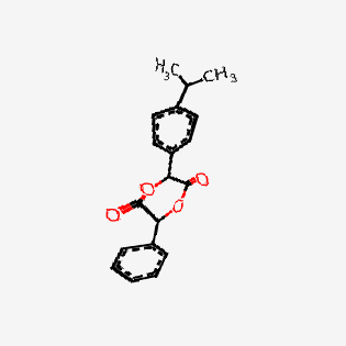 CC(C)c1ccc(C2OC(=O)C(c3ccccc3)OC2=O)cc1